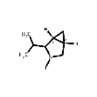 CC(C)C1[C@@H]2C[C@@H]2CN1I